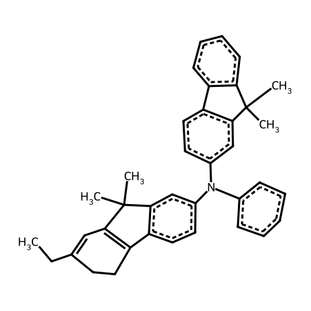 CCC1=CC2=C(CC1)c1ccc(N(c3ccccc3)c3ccc4c(c3)C(C)(C)c3ccccc3-4)cc1C2(C)C